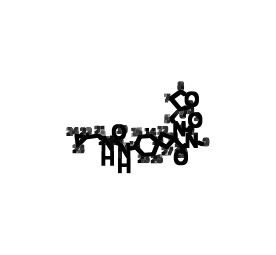 CN1C(=O)N(C[C@H]2CCOC2)C2(CC3(CCC(NC(=O)NCC4CC4)CC3)C2)C1=O